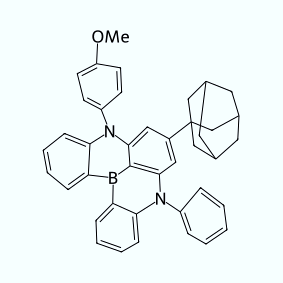 COc1ccc(N2c3ccccc3B3c4ccccc4N(c4ccccc4)c4cc(C56CC7CC(CC(C7)C5)C6)cc2c43)cc1